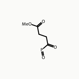 COC(=O)CCC(=O)P=O